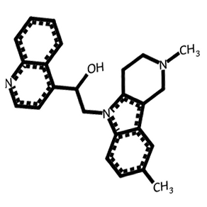 Cc1ccc2c(c1)c1c(n2CC(O)c2ccnc3ccccc23)CCN(C)C1